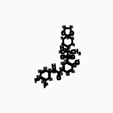 CC(C)(C1CCC2(CC1)OCCO2)S(=O)(=O)c1cc(C(=O)Nc2ccc(F)c(F)c2)ccc1Cl